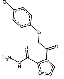 NNC(=O)c1occc1C(=O)COc1ccc(Cl)cc1